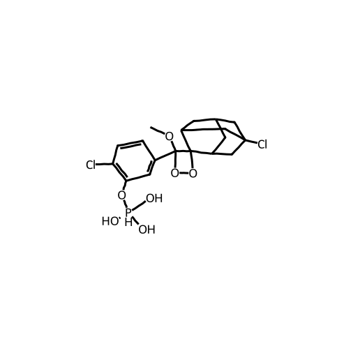 COC1(c2ccc(Cl)c(O[PH](O)(O)O)c2)OOC12C1CC3CC2CC(Cl)(C3)C1